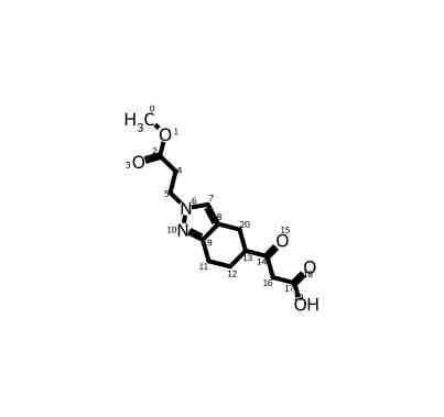 COC(=O)CCn1cc2c(n1)CCC(C(=O)CC(=O)O)C2